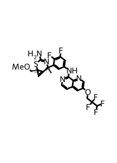 COC[C@]12C=C1[C@@](C)(c1cc(Nc3nccc4cc(OCC(F)(F)C(F)F)cnc34)cc(F)c1F)N=C(N)S2